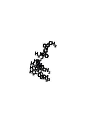 CCOC(=O)N1CCN(C(=O)[C@@H](N)CCCN/C(N)=N/S(=O)(=O)c2c(C)c(C)c3c(c2C)CC(C)(C)O3)CC1